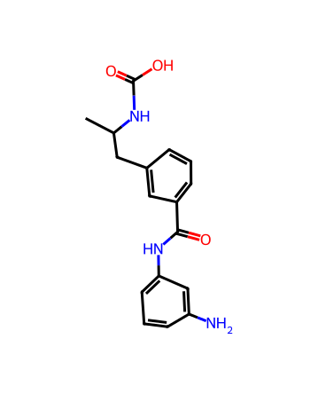 CC(Cc1cccc(C(=O)Nc2cccc(N)c2)c1)NC(=O)O